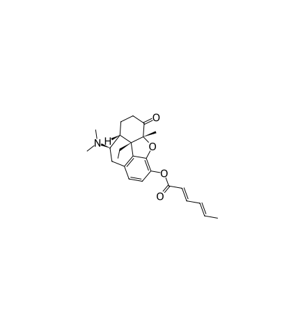 C/C=C/C=C/C(=O)Oc1ccc2c3c1O[C@@]1(C)C(=O)CC[C@@H]([C@H](N(C)C)C2)[C@@]31CC